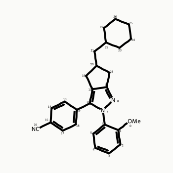 COc1ccccc1-n1nc2c(c1-c1ccc(C#N)cc1)CC(CC1CCCCC1)C2